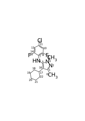 Cc1nn(C)c(Nc2c(F)cc(Cl)cc2F)c1C1CCCCC1